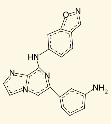 Nc1cccc(-c2cn3ccnc3c(Nc3ccc4cnoc4c3)n2)c1